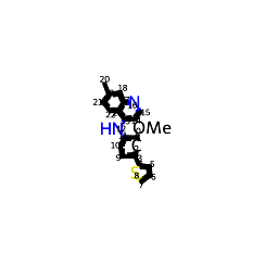 COc1cc(-c2cccs2)ccc1Nc1ccnc2cc(C)ccc12